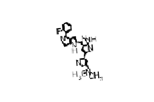 CN(C)Cc1cncc(-c2cnc3[nH]nc(-c4cc5c(-c6ccccc6F)nccc5[nH]4)c3c2)c1